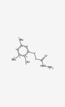 CC(C)(C)c1cc(CCC(=O)NN)c(O)c(C(C)(C)C)c1